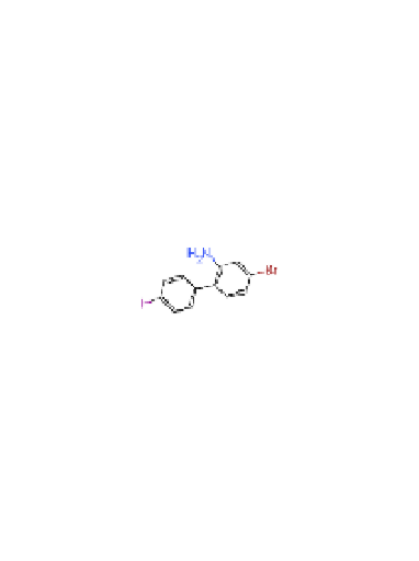 Nc1cc(Br)ccc1-c1ccc(I)cc1